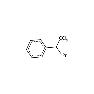 CC(C)C(c1ccccc1)C(Cl)(Cl)Cl